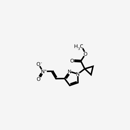 COC(=O)C1(n2ccc(C=C[N+](=O)[O-])n2)CC1